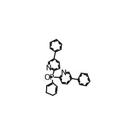 O=P(C1=CCCC=C1)(c1ccc(-c2ccccc2)cn1)c1ccc(-c2ccccc2)cn1